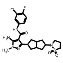 Cn1nc(C2CC3CC(N4CCCS4(=O)=O)CC3C2)c(C(=O)Nc2ccc(F)c(Cl)c2)c1N